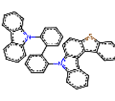 c1ccc(-n2c3ccccc3c3ccccc32)c(-c2ccccc2-n2c3ccccc3c3c4c(ccc32)sc2ccccc24)c1